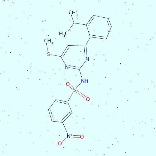 CSc1cc(-c2ccccc2C(C)C)nc(NS(=O)(=O)c2cccc([N+](=O)[O-])c2)n1